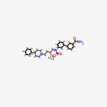 Cl.NC(=O)c1cccc(-c2cccc(N(CCCCN3CCC(c4ccccc4)CC3)C(=O)O)c2)c1